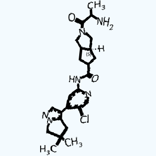 CC(N)C(=O)N1CC2CC(C(=O)Nc3cc(-c4cnn5c4CC(C)(C)C5)c(Cl)cn3)C[C@@H]2C1